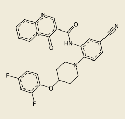 N#Cc1ccc(N2CCC(Oc3ccc(F)cc3F)CC2)c(NC(=O)c2cnc3ccccn3c2=O)c1